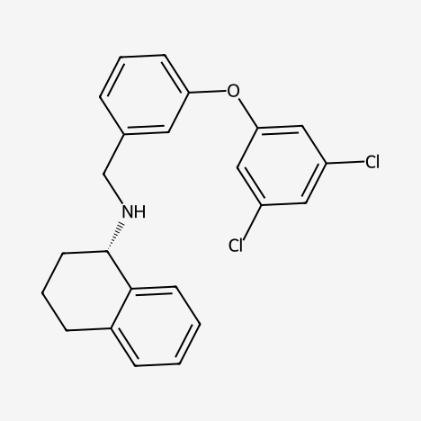 Clc1cc(Cl)cc(Oc2cccc(CN[C@H]3CCCc4ccccc43)c2)c1